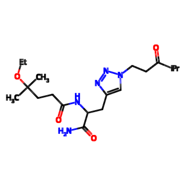 CCOC(C)(C)CCC(=O)NC(Cc1cn(CCC(=O)C(C)C)nn1)C(N)=O